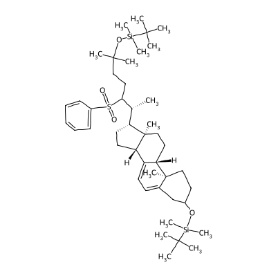 C[C@@H](C(CCC(C)(C)O[Si](C)(C)C(C)(C)C)S(=O)(=O)c1ccccc1)[C@H]1CC[C@H]2C3=CC=C4CC(O[Si](C)(C)C(C)(C)C)CC[C@]4(C)[C@H]3CC[C@]12C